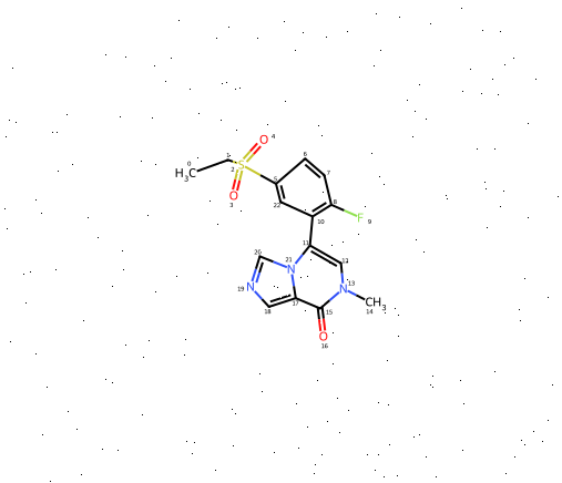 CCS(=O)(=O)c1ccc(F)c(-c2cn(C)c(=O)c3cncn23)c1